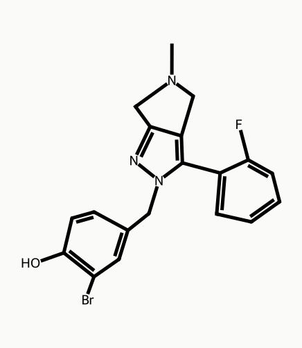 CN1Cc2nn(Cc3ccc(O)c(Br)c3)c(-c3ccccc3F)c2C1